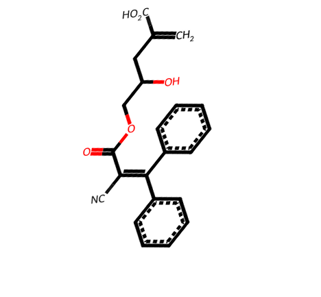 C=C(CC(O)COC(=O)C(C#N)=C(c1ccccc1)c1ccccc1)C(=O)O